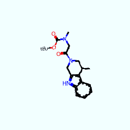 CC1CN(C(=O)CN(C)C(=O)OC(C)(C)C)Cc2[nH]c3ccccc3c21